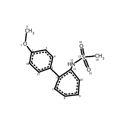 COc1ccc(-c2ccccc2NS(C)(=O)=O)cc1